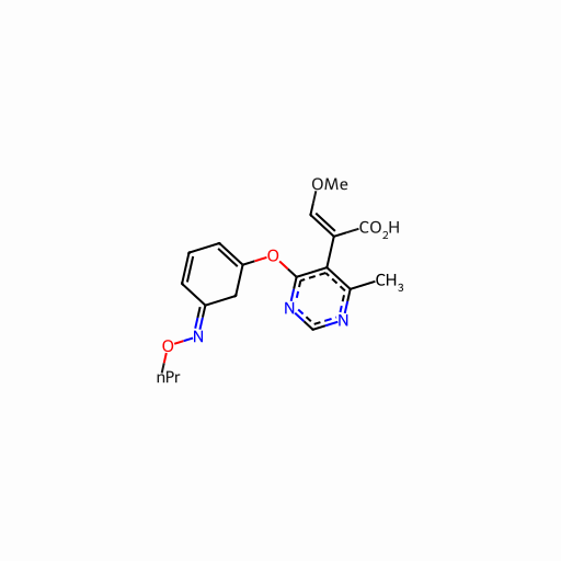 CCCON=C1C=CC=C(Oc2ncnc(C)c2C(=COC)C(=O)O)C1